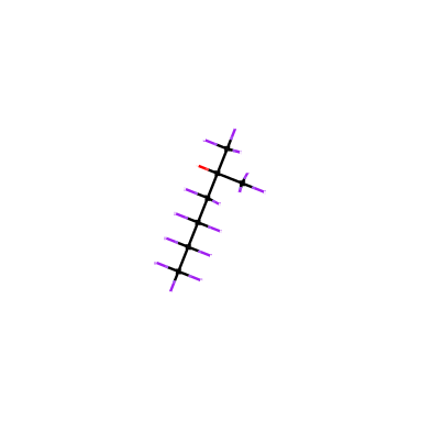 [O]C(C(I)(I)I)(C(I)(I)I)C(I)(I)C(I)(I)C(I)(I)C(I)(I)I